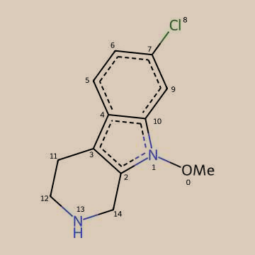 COn1c2c(c3ccc(Cl)cc31)CCNC2